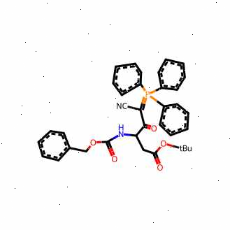 CC(C)(C)OC(=O)CC(NC(=O)OCc1ccccc1)C(=O)C(C#N)=P(c1ccccc1)(c1ccccc1)c1ccccc1